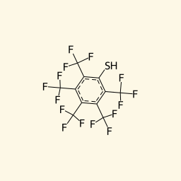 FC(F)(F)c1c(S)c(C(F)(F)F)c(C(F)(F)F)c(C(F)(F)F)c1C(F)(F)F